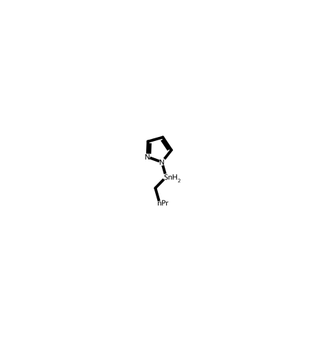 CCC[CH2][SnH2][n]1cccn1